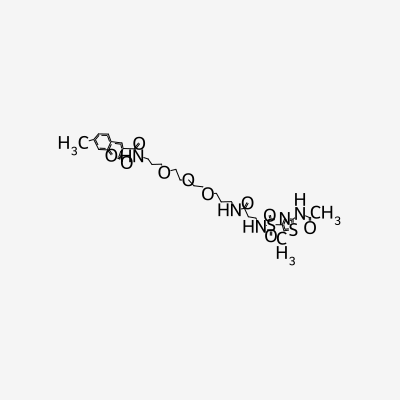 CC(=O)Nc1nc(S(=O)(=O)NCCC(=O)NCCCOCCOCCOCCCNC(=O)c2cc3ccc(C)cc3oc2=O)c(C)s1